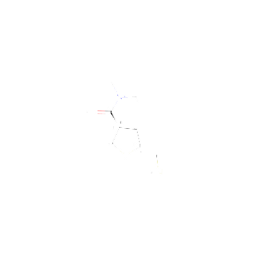 CN(C)C(=O)[C@@H]1CS[C@@H](CS)C1